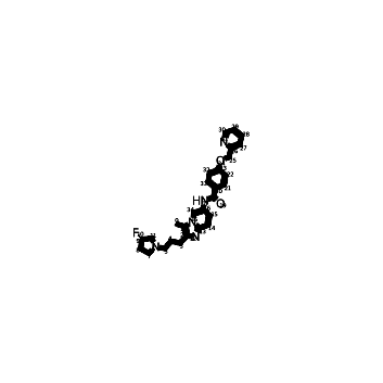 Cc1c(CCCN2CC[C@H](F)C2)nc2ccc(NC(=O)c3ccc(OCc4ccccn4)cc3)cn12